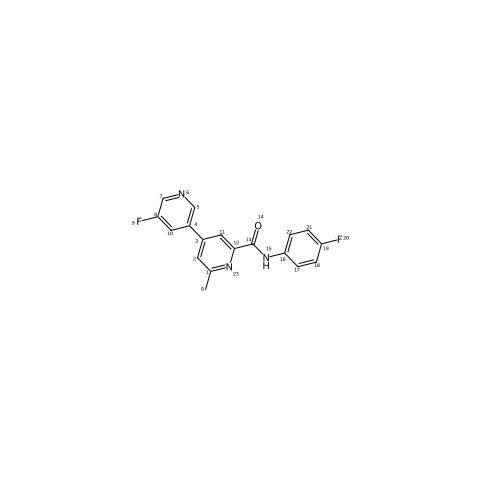 Cc1cc(-c2cncc(F)c2)cc(C(=O)Nc2ccc(F)cc2)n1